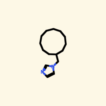 c1cn(CC2CCCCCCCCCC2)cn1